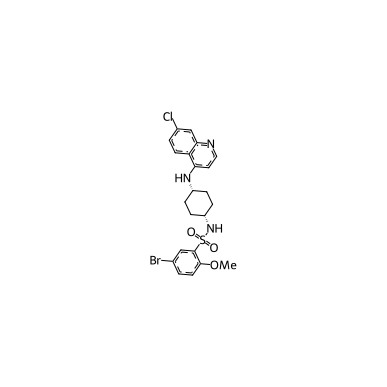 COc1ccc(Br)cc1S(=O)(=O)N[C@H]1CC[C@@H](Nc2ccnc3cc(Cl)ccc23)CC1